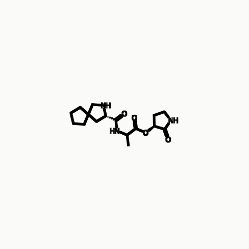 CC(NC(=O)[C@@H]1CC2(CCCC2)CN1)C(=O)O[C@H]1CCNC1=O